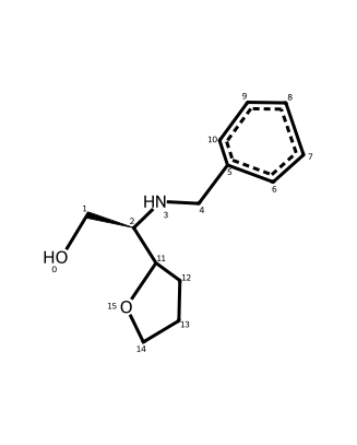 OC[C@@H](NCc1ccccc1)C1CCCO1